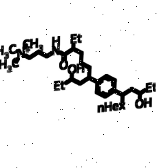 CCCCCCC(CC(O)CC)c1ccc(C(CCCC(CC)C(=O)NCCC[N+](C)(C)C)CC(O)CC)cc1